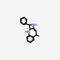 CC1C=C2NC(c3ccccc3)[C@]2(C)Nc2ccccc21